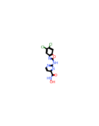 O=C(NO)c1ccnc(Nc2nc3cc(Cl)c(Cl)cc3o2)n1